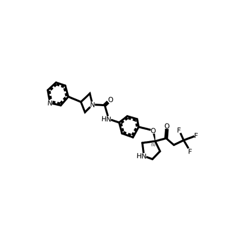 O=C(Nc1ccc(O[C@@]2(C(=O)CC(F)(F)F)CCNC2)cc1)N1CC(c2cccnc2)C1